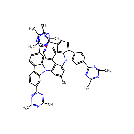 Cc1nc(C)nc(-c2ccc3c4ccc(-c5nc(C)nc(C)n5)cc4n(-c4cc(C#N)cc(-n5c6cc(-c7nc(C)nc(C)n7)ccc6c6ccc(-c7nc(C)nc(C)n7)cc65)c4-c4ccncc4)c3c2)n1